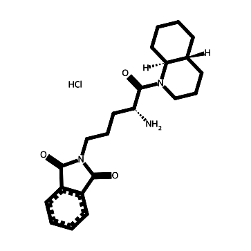 Cl.N[C@H](CCCN1C(=O)c2ccccc2C1=O)C(=O)N1CCC[C@H]2CCCC[C@@H]21